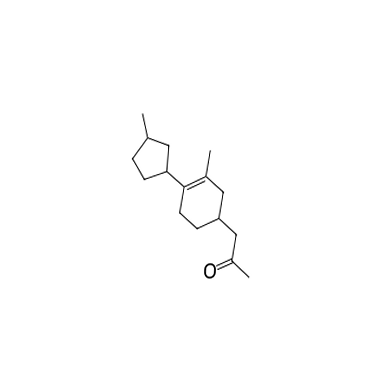 CC(=O)CC1CCC(C2CCC(C)C2)=C(C)C1